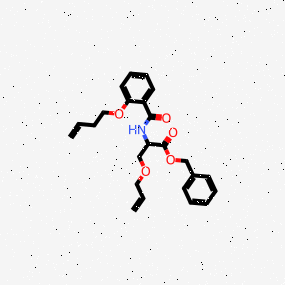 C=CCCOc1ccccc1C(=O)NC(COCC=C)C(=O)OCc1ccccc1